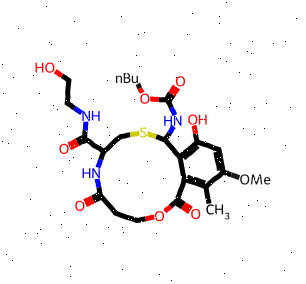 CCCCOC(=O)NC1SCC(C(=O)NCCO)NC(=O)CCOC(=O)c2c(C)c(OC)cc(O)c21